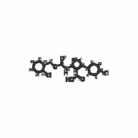 O=C(Nc1scc(-c2ccc(Cl)cc2)c1C(=O)O)OCc1ccccc1Cl